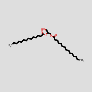 CCCCCCCCCCCCCCC(=O)OCC(CO)OC(=O)CCCCCCCCCCCCC